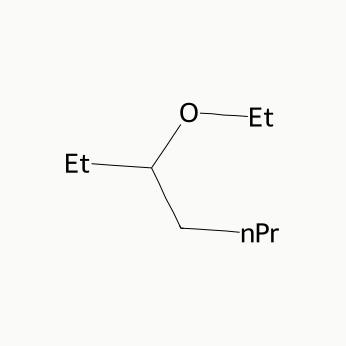 [CH2]CC(CCCC)OCC